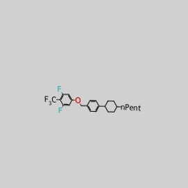 CCCCCC1CCC(c2ccc(COc3cc(F)c(C(F)(F)F)c(F)c3)cc2)CC1